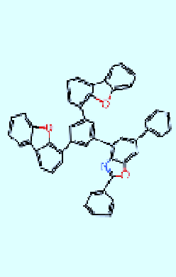 c1ccc(-c2cc(-c3cc(-c4cccc5c4oc4ccccc45)cc(-c4cccc5c4oc4ccccc45)c3)c3nc(-c4ccccc4)oc3c2)cc1